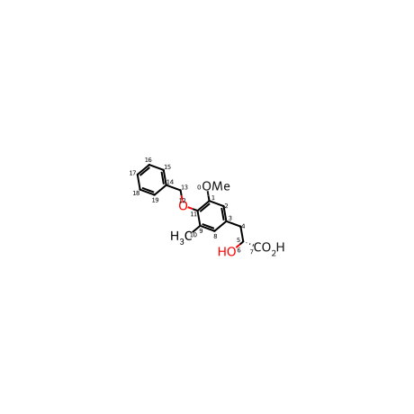 COc1cc(C[C@@H](O)C(=O)O)cc(C)c1OCc1ccccc1